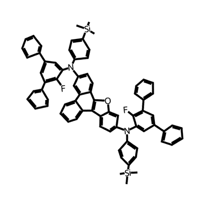 C[Si](C)(C)c1ccc(N(c2ccc3c(c2)oc2c4ccc(N(c5ccc([Si](C)(C)C)cc5)c5cc(-c6ccccc6)cc(-c6ccccc6)c5F)cc4c4ccccc4c32)c2cc(-c3ccccc3)cc(-c3ccccc3)c2F)cc1